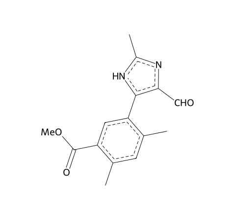 COC(=O)c1cc(-c2[nH]c(C)nc2C=O)c(C)cc1C